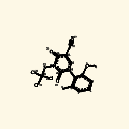 COc1cccc(C)c1-n1cc(C#N)c(=O)n(SC(Cl)(Cl)Cl)c1=O